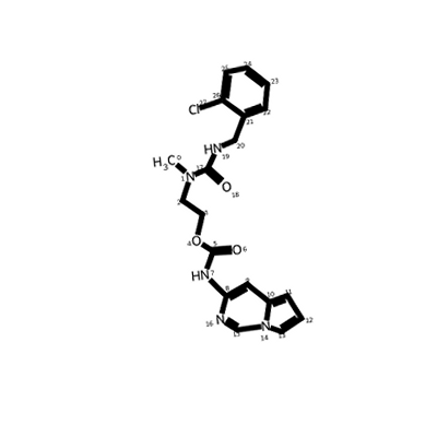 CN(CCOC(=O)Nc1cc2cccn2cn1)C(=O)NCc1ccccc1Cl